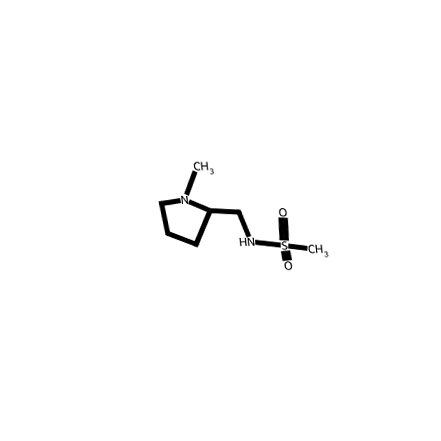 CN1CCCC1CNS(C)(=O)=O